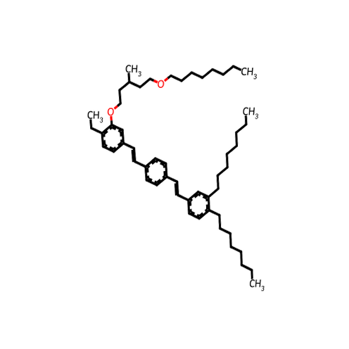 CCCCCCCCOCCC(C)CCOc1cc(C=Cc2ccc(C=Cc3ccc(CCCCCCCC)c(CCCCCCCC)c3)cc2)ccc1CC